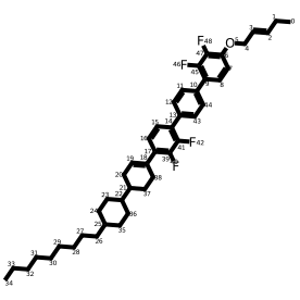 CC/C=C/COc1ccc(-c2ccc(-c3ccc(C4=CCC(C5CCC(CCCCCCCCC)CC5)CC4)c(F)c3F)cc2)c(F)c1F